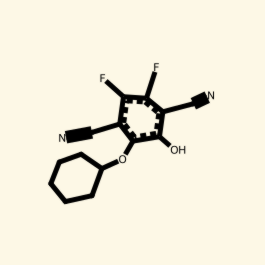 N#Cc1c(O)c(OC2CCCCC2)c(C#N)c(F)c1F